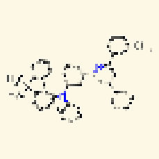 Cc1cccc(-c2cc(-c3ccccc3)cc(-c3cccc(-n4c5ccccc5c5ccc6c(c54)-c4ccccc4C6(C)C)c3)n2)c1